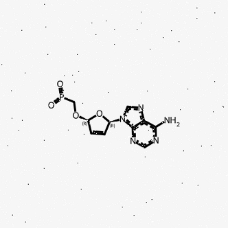 Nc1ncnc2c1ncn2[C@H]1C=C[C@@H](OCP(=O)=O)O1